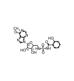 COc1ncnc2c1ncn2[C@@H]1OC(CNS(=O)(=O)NC(=O)c2ccccc2O)[C@@H](O)[C@H]1O